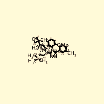 COc1cccc(OC)c1-n1c(-c2cncc(C)c2)nnc1N(CC[Si](C)(C)C)S(=O)(=O)C[C@@H](O)C1(C)COC1